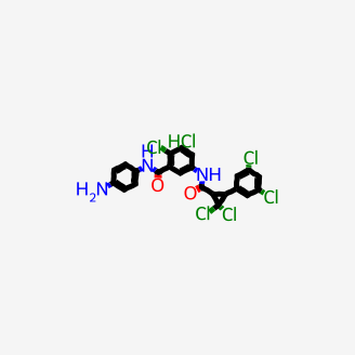 Cl.Nc1ccc(NC(=O)c2cc(NC(=O)C3C(c4cc(Cl)cc(Cl)c4)C3(Cl)Cl)ccc2Cl)cc1